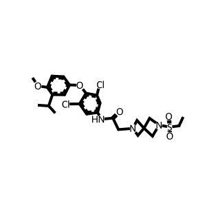 CCS(=O)(=O)N1CC2(CN(CC(=O)Nc3cc(Cl)c(Oc4ccc(OC)c(C(C)C)c4)c(Cl)c3)C2)C1